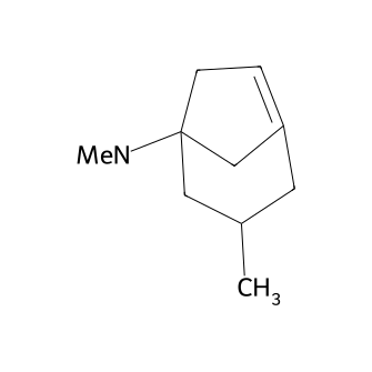 CNC12CC=C(CC(C)C1)C2